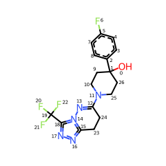 OC1(c2ccc(F)cc2)CCN(C2=Nn3c(nnc3C(F)(F)F)CC2)CC1